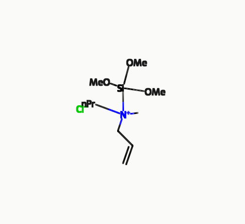 C=CC[N+](C)(CCC)[Si](OC)(OC)OC.[Cl-]